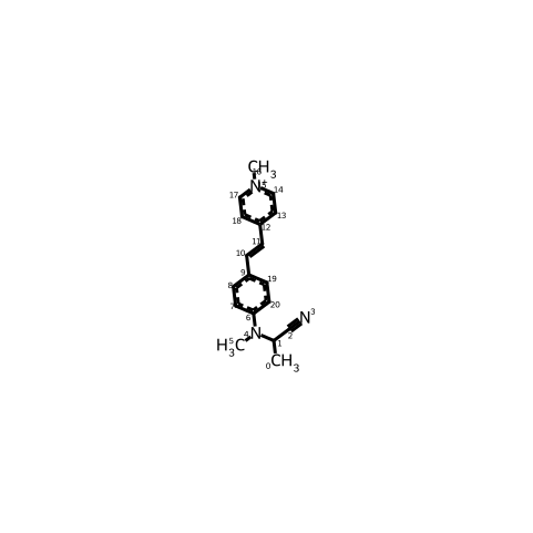 CC(C#N)N(C)c1ccc(C=Cc2cc[n+](C)cc2)cc1